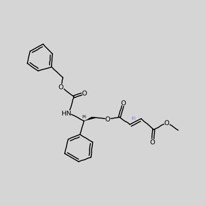 COC(=O)/C=C/C(=O)OC[C@H](NC(=O)OCc1ccccc1)c1ccccc1